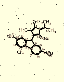 CC(C)=C1[C]([Zr+2])=C(C)C(C2c3cc(C(C)(C)C)ccc3-c3ccc(C(C)(C)C)cc32)=C1C(C)(C)C.[Cl-].[Cl-]